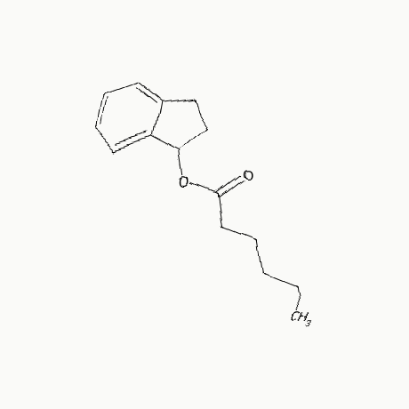 CCCCCC(=O)OC1CCc2ccccc21